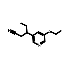 CCSc1cncc(C(CC)CC#N)c1